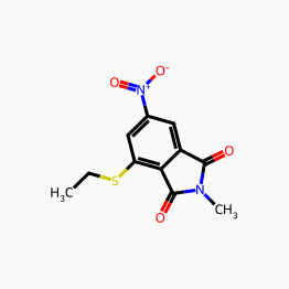 CCSc1cc([N+](=O)[O-])cc2c1C(=O)N(C)C2=O